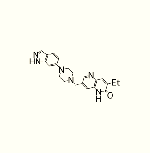 CCc1cc2ncc(CN3CCN(c4ccc5cn[nH]c5c4)CC3)cc2[nH]c1=O